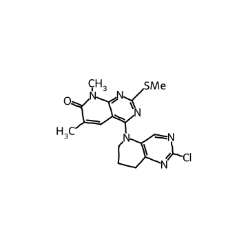 CSc1nc(N2CCCc3nc(Cl)ncc32)c2cc(C)c(=O)n(C)c2n1